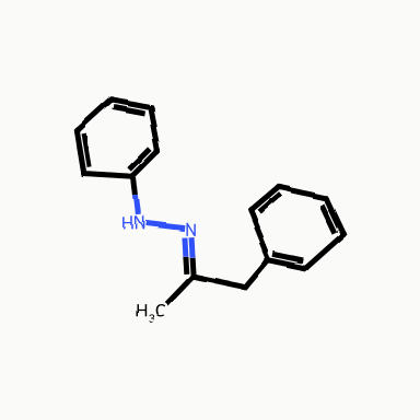 CC(Cc1ccccc1)=NNc1ccccc1